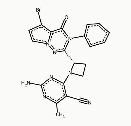 Cc1nc(N)nc(N2CC[C@H]2c2nn3ccc(Br)c3c(=O)n2-c2ccccc2)c1C#N